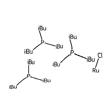 CCC(C)P(C(C)CC)C(C)CC.CCC(C)P(C(C)CC)C(C)CC.CCC(C)P(C(C)CC)C(C)CC.[Cl][Ru]